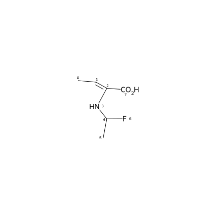 C/C=C(\NC(C)F)C(=O)O